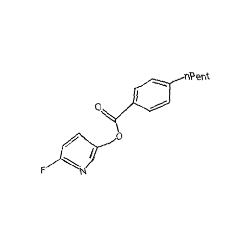 CCCCCc1ccc(C(=O)Oc2ccc(F)nc2)cc1